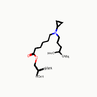 CCCCCCCCC(CCCCCC)COC(=O)CCCCCN(CCCC(OC)OC)C1CC1